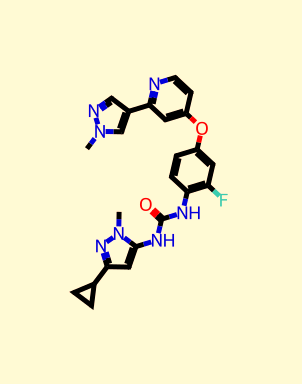 Cn1cc(-c2cc(Oc3ccc(NC(=O)Nc4cc(C5CC5)nn4C)c(F)c3)ccn2)cn1